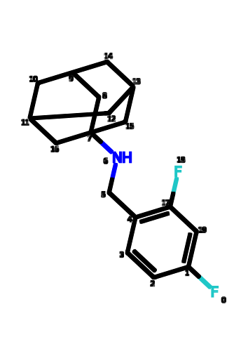 Fc1ccc(CNC23CC4CC(CC(C4)C2)C3)c(F)c1